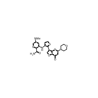 CNc1cnc(C(N)=O)c(Nc2ccsc2-c2coc3c(=O)cc(N4CCOCC4)sc23)c1